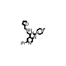 CC(C)c1cc2c(CNCc3ccco3)nc(N3CCN(C)CC3)nc2cn1